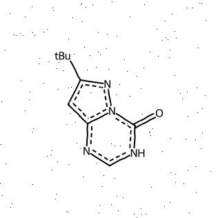 CC(C)(C)c1cc2nc[nH]c(=O)n2n1